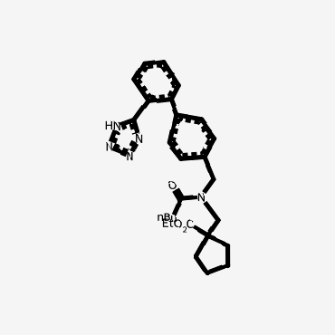 CCCCC(=O)N(Cc1ccc(-c2ccccc2-c2nnn[nH]2)cc1)CC1(C(=O)OCC)CCCC1